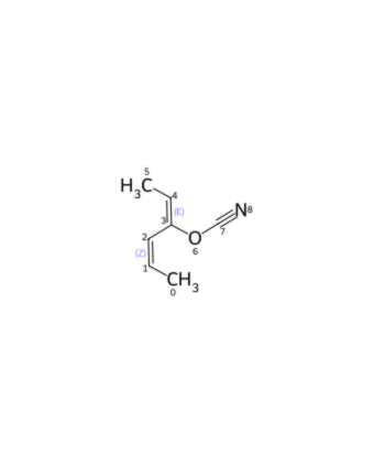 C/C=C\C(=C/C)OC#N